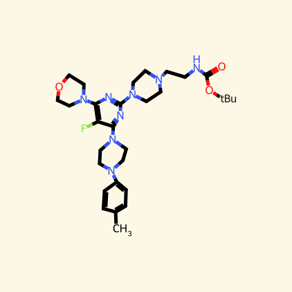 Cc1ccc(N2CCN(c3nc(N4CCN(CCNC(=O)OC(C)(C)C)CC4)nc(N4CCOCC4)c3F)CC2)cc1